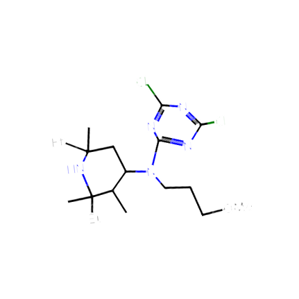 CCC1(C)CC(N(CCCOC)c2nc(Cl)nc(Cl)n2)C(C)C(C)(CC)N1